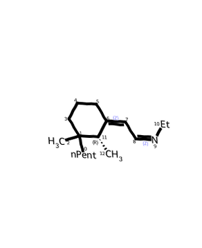 CCCCCC1(C)CCC/C(=C/C=N\CC)[C@@H]1C